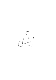 Cc1ccc(C(=O)N2C(c3ccco3)C(C(=O)O)CC2(CC(C)C)C(=O)O)cc1